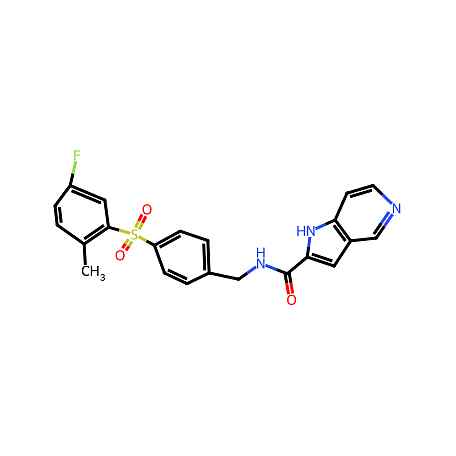 Cc1ccc(F)cc1S(=O)(=O)c1ccc(CNC(=O)c2cc3cnccc3[nH]2)cc1